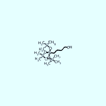 C[Si](C)(C)O[Si](CCCCO)(O[Si](C)(C)C)O[Si](C)(C)C